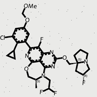 COCOc1cc(Cl)c(C2CC2)c(-c2nc3c4c(nc(OC[C@@]56CCCN5C[C@H](F)C6)nc4c2F)N(CC(F)F)[C@@H](C)CO3)c1